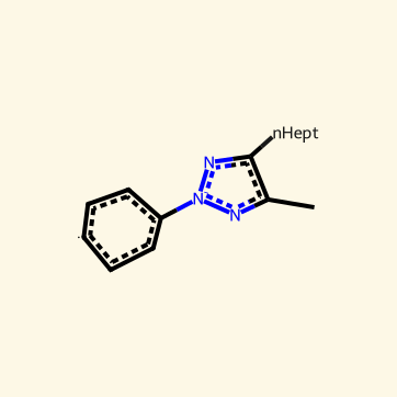 CCCCCCCc1nn(-c2cc[c]cc2)nc1C